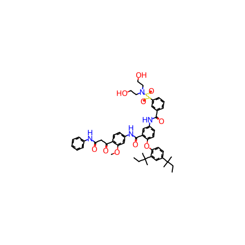 CCC(C)(C)c1ccc(Oc2ccc(NC(=O)c3cccc(S(=O)(=O)N(CCO)CCO)c3)cc2C(=O)Nc2ccc(C(=O)CC(=O)Nc3ccccc3)c(OC)c2)c(C(C)(C)CC)c1